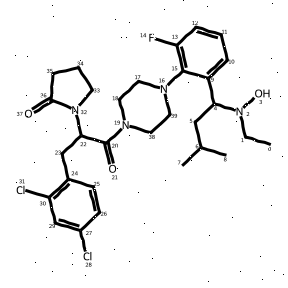 CCN(O)C(CC(C)C)c1cccc(F)c1N1CCN(C(=O)C(Cc2ccc(Cl)cc2Cl)N2CCCC2=O)CC1